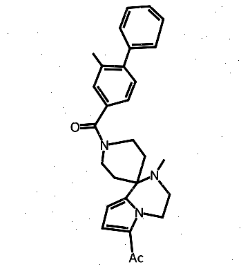 CC(=O)c1ccc2n1CCN(C)C21CCN(C(=O)c2ccc(-c3ccccc3)c(C)c2)CC1